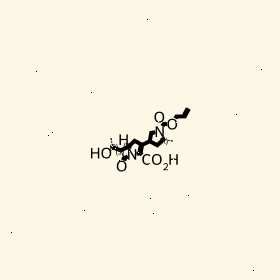 C=CCOC(=O)N1CC(C2=C(C(=O)O)N3C(=O)[C@H]([C@@H](C)O)[C@H]3C2)C[C@H]1C